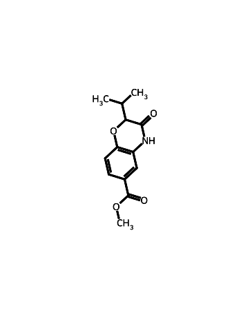 COC(=O)c1ccc2c(c1)NC(=O)C(C(C)C)O2